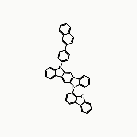 c1ccc2cc(-c3ccc(-n4c5ccccc5c5cc6c(cc54)c4ccccc4n6-c4cccc5c4oc4ccccc45)cc3)ccc2c1